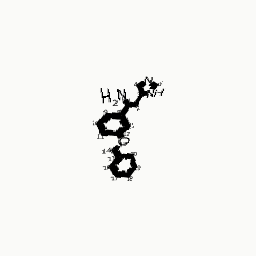 NC(Cc1cnc[nH]1)c1cccc(OCc2ccccc2)c1